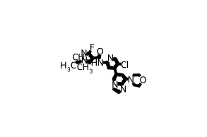 CC(C)(C)n1cc(C(=O)Nc2cc(-c3cc(N4CCOCC4)c4nccn4c3)c(Cl)cn2)c(F)n1